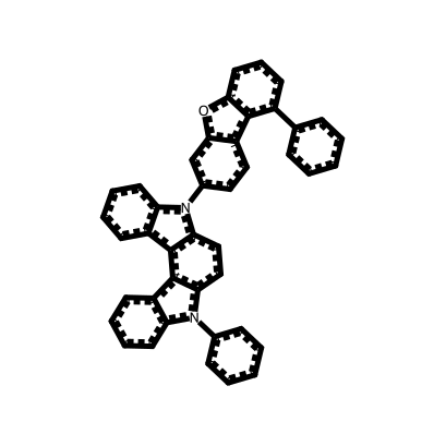 c1ccc(-c2cccc3oc4cc(-n5c6ccccc6c6c7c8ccccc8n(-c8ccccc8)c7ccc65)ccc4c23)cc1